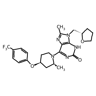 Cc1nc2c(N3CC[C@H](Oc4ccc(C(F)(F)F)cc4)C[C@@H]3C)nc(=O)[nH]c2n1C[C@@H]1CCCO1